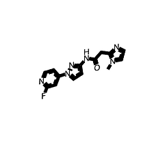 Cn1ccnc1CC(=O)Nc1ccn(-c2ccnc(F)c2)n1